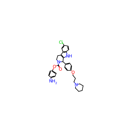 Nc1ccc(OC(=O)N2CCc3c([nH]c4ccc(Cl)cc34)C2c2ccc(OCCCN3CCCCC3)cc2)cc1